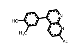 CC(=O)c1ccc2c(-c3ccc(O)c(C)c3)ccnc2n1